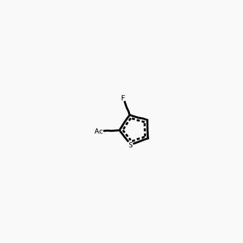 CC(=O)c1sccc1F